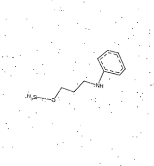 [SiH3]OCCCNc1ccccc1